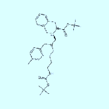 Cc1ccc(CN(CCCCNC(=O)OC(C)(C)C)C[C@H]2Cc3ccccc3CN2C(=O)OC(C)(C)C)nc1